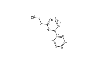 C=CC(OC(=O)CCCl)c1ccccc1